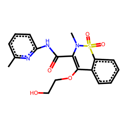 Cc1cccc(NC(=O)C2=C(OCCO)c3ccccc3S(=O)(=O)N2C)n1